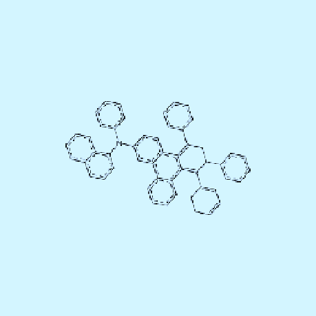 C1=CCCC(C2=c3c(c4ccc(N(c5ccccc5)c5cccc6ccccc56)cc4c4ccccc34)=C(c3ccccc3)CC2c2ccccc2)=C1